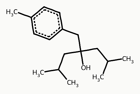 Cc1ccc(CC(O)(CC(C)C)CC(C)C)cc1